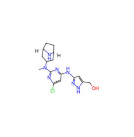 CN(c1nc(Cl)cc(Nc2cc(CO)[nH]n2)n1)C1C[C@H]2CC[C@@H](C1)N2